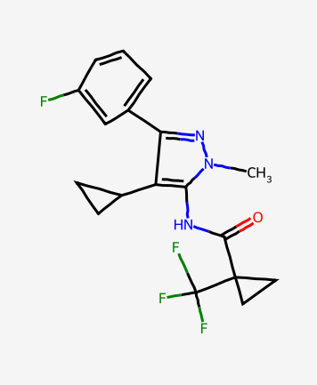 Cn1nc(-c2cccc(F)c2)c(C2CC2)c1NC(=O)C1(C(F)(F)F)CC1